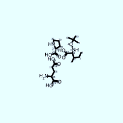 CCC(C)C(NOC(C)(C)C)C(=O)O.NC(CCC(=O)O)C(=O)O.O=C(O)[C@@H]1CCCN1